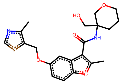 Cc1ncsc1COc1ccc2oc(C)c(C(=O)NC3(CO)CCCOC3)c2c1